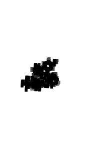 O=C(c1cc(F)ccc1-n1nccn1)N1CC2CCC1(CNc1cnc(C(F)(F)F)cn1)C2